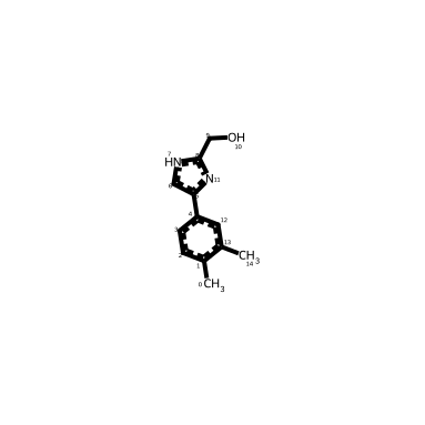 Cc1ccc(-c2c[nH]c(CO)n2)cc1C